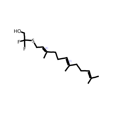 CC(C)=CCC/C(C)=C/CC/C(C)=C/CSC(F)(F)CO